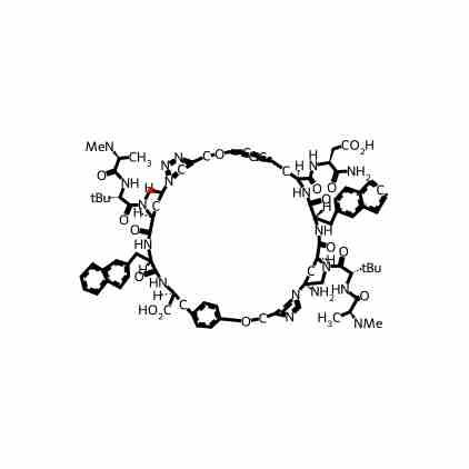 CN[C@@H](C)C(=O)N[C@H](C(=O)N1C[C@@H]2C[C@H]1C(=O)N[C@@H](Cc1ccc3ccccc3c1)C(=O)N[C@H](C(=O)O)Cc1ccc(cc1)OCc1cn(cn1)[C@@]1(N)C[C@@H](C(=O)N[C@@H](Cc3ccc4ccccc4c3)C(=O)N[C@H](C(=O)N[C@@H](CC(=O)O)C(N)=O)Cc3ccc(cc3)OCc3cn2nn3)N(C(=O)[C@@H](NC(=O)[C@H](C)NC)C(C)(C)C)C1)C(C)(C)C